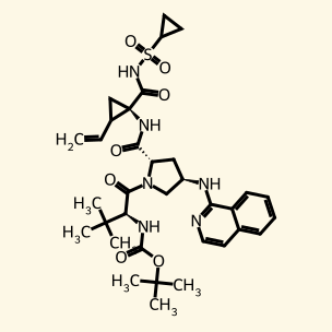 C=CC1C[C@]1(NC(=O)[C@@H]1C[C@@H](Nc2nccc3ccccc23)CN1C(=O)[C@@H](NC(=O)OC(C)(C)C)C(C)(C)C)C(=O)NS(=O)(=O)C1CC1